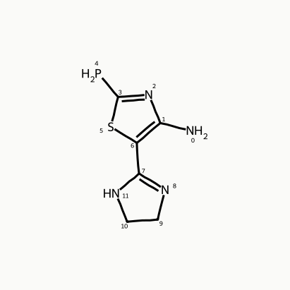 Nc1nc(P)sc1C1=NCCN1